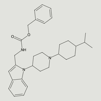 CC(C)C1CCC(N2CCC(n3c(CNC(=O)OCc4ccccc4)cc4ccccc43)CC2)CC1